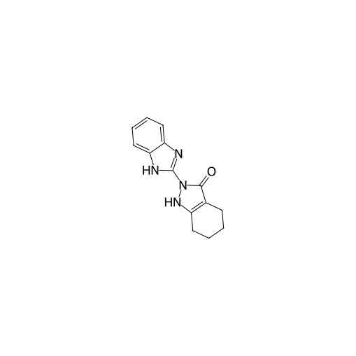 O=c1c2c([nH]n1-c1nc3ccccc3[nH]1)CCCC2